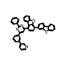 c1ccc(-c2nc(-c3cccc(-c4cccnc4)c3)cc(-c3ccc(-c4ccc5c(c4)sc4ccccc45)c4oc5ccccc5c34)n2)cc1